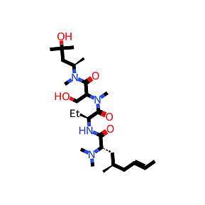 C/C=C/C[C@@H](C)C[C@@H](C(=O)N[C@@H](CC)C(=O)N(C)C(CO)C(=O)N(C)[C@H](C)CC(C)(C)O)N(C)C